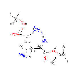 CC(C)(C)OC(=O)C(N)[C@H]1CNC[C@@H]1C(N)C(=O)OC(C)(C)C